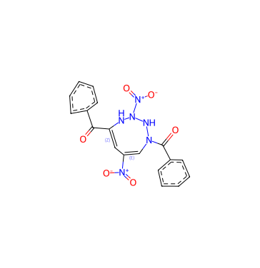 O=C(/C1=C/C([N+](=O)[O-])=C\N(C(=O)c2ccccc2)NN([N+](=O)[O-])N1)c1ccccc1